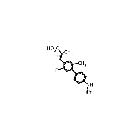 C/C(=C\c1cc(C)c(-c2ccc(NC(C)C)cc2)cc1F)C(=O)O